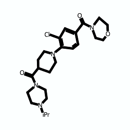 CC(C)N1CCN(C(=O)C2CCN(c3ccc(C(=O)N4CCOCC4)cc3Cl)CC2)CC1